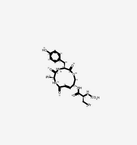 CC(C)C[C@H](NC(=O)O)C(=O)N[C@@H]1/C=C/C(=O)N[C@@H](C(C)C)C(=O)N[C@@H](Cc2ccc(O)cc2)C(=O)OC1